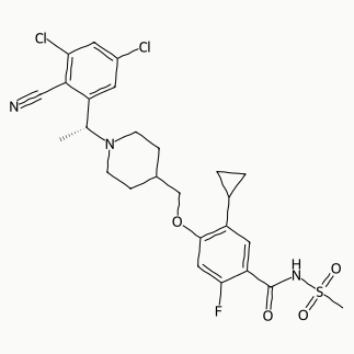 C[C@H](c1cc(Cl)cc(Cl)c1C#N)N1CCC(COc2cc(F)c(C(=O)NS(C)(=O)=O)cc2C2CC2)CC1